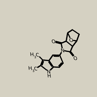 Cc1[nH]c2ccc(N3C(=O)C4C5CCC(O5)C4C3=O)cc2c1C